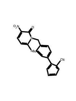 CCCCc1ccc([N+](=O)[O-])c(=O)n1Cc1ccc(-c2ccccc2C#N)cc1